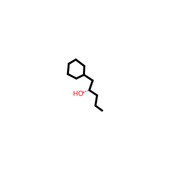 CCC[C@H](O)CC1CCCCC1